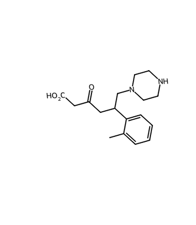 Cc1ccccc1C(CC(=O)CC(=O)O)CN1CCNCC1